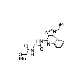 CC(C)Cn1cnc2c(NC(=O)CNC(=O)COC(C)(C)C)nc3ccccc3c21